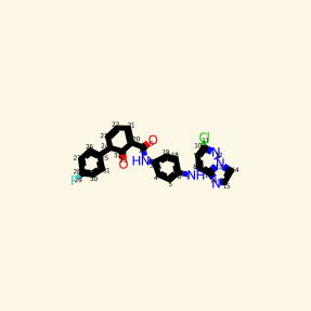 O=C(Nc1ccc(Nc2cc(Cl)nn3ccnc23)cc1)C1=CC=CC(c2ccc(F)cc2)C1=O